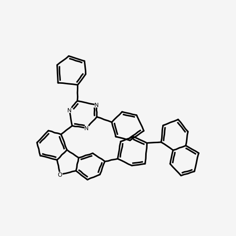 c1ccc(-c2nc(-c3ccccc3)nc(-c3cccc4oc5ccc(-c6ccc(-c7cccc8ccccc78)cc6)cc5c34)n2)cc1